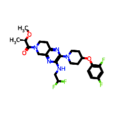 CO[C@H](C)C(=O)N1CCc2nc(N3CCC(Oc4ccc(F)cc4F)CC3)c(NCC(F)F)nc2C1